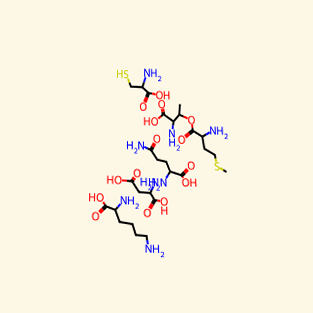 CSCCC(N)C(=O)OC(C)C(N)C(=O)O.NC(=O)CCC(N)C(=O)O.NC(CC(=O)O)C(=O)O.NC(CS)C(=O)O.NCCCCC(N)C(=O)O